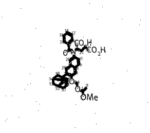 COC(C)OCOc1cc2ccc(N(C(=O)c3ccccc3)[C@@H](CCC(=O)O)C(=O)O)cc2cc1C12CC3CC(CC(C3)C1)C2